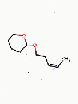 C/C=C\CCOC1CCCCO1